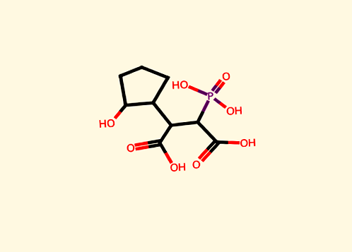 O=C(O)C(C1CCCC1O)C(C(=O)O)P(=O)(O)O